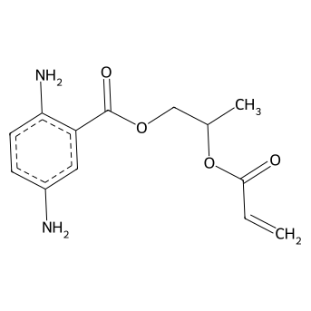 C=CC(=O)OC(C)COC(=O)c1cc(N)ccc1N